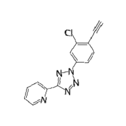 C#Cc1ccc(-n2nnc(-c3ccccn3)n2)cc1Cl